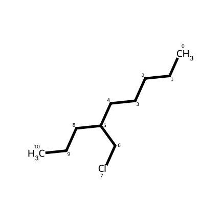 CCCCCC(CCl)CCC